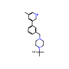 CC1=CNCC(c2cccc(CN3CCN(C(C)(C)C#N)CC3)c2)=C1